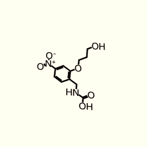 O=C(O)NCc1ccc([N+](=O)[O-])cc1OCCCO